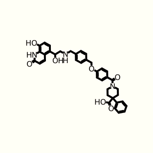 O=C(c1ccc(OCc2ccc(CNCC(O)c3ccc(O)c4[nH]c(=O)ccc34)cc2)cc1)N1CCC(C(=O)O)(c2ccccc2)CC1